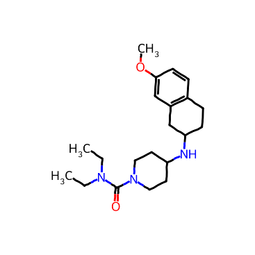 CCN(CC)C(=O)N1CCC(NC2CCc3ccc(OC)cc3C2)CC1